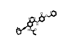 C=CC(=O)Nc1cc2c(Nc3ccc(OCc4ccccn4)c(Cl)c3)ncnc2cc1C#CC12CCC(CC1)N2C